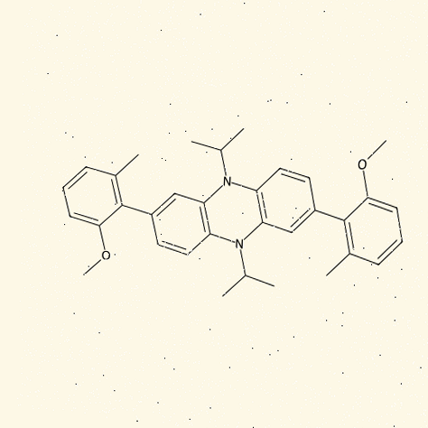 COc1cccc(C)c1-c1ccc2c(c1)N(C(C)C)c1ccc(-c3c(C)cccc3OC)cc1N2C(C)C